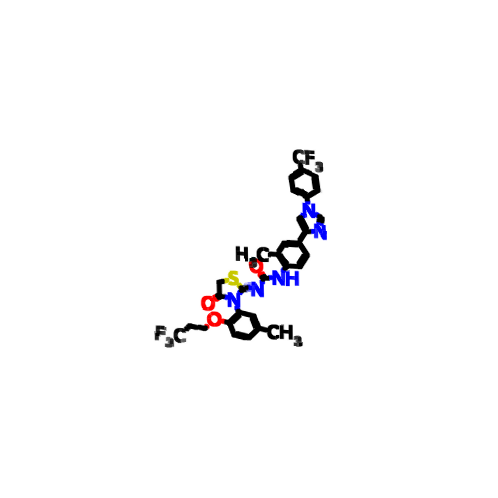 Cc1ccc(OCCC(F)(F)F)c(N2C(=O)CS/C2=N\C(=O)Nc2ccc(-c3cn(-c4ccc(C(F)(F)F)cc4)cn3)cc2C)c1